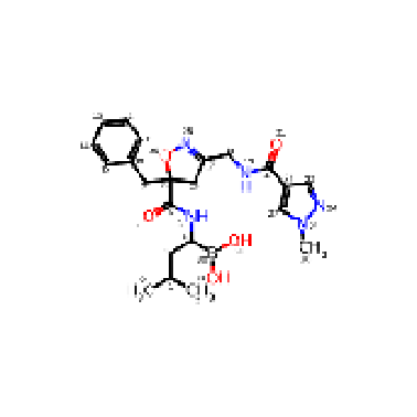 CC(C)CC(NC(=O)C1(Cc2ccccc2)CC(CNC(=O)c2cnn(C)c2)=NO1)B(O)O